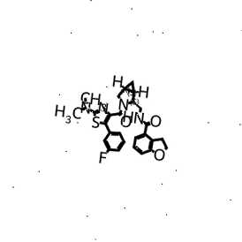 CN(C)c1nc(C(=O)N2C[C@@H]3C[C@@H]3[C@H]2CNC(=O)c2cccc3c2CCO3)c(-c2cccc(F)c2)s1